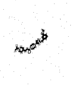 CCOc1cccc(Cn2cc(N3CCN(C(=O)CCC4CCN(C(C)C)CC4)CC3)cn2)c1